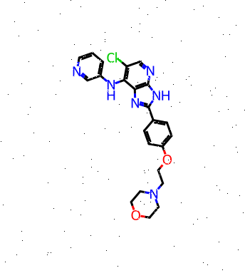 Clc1cnc2[nH]c(-c3ccc(OCCN4CCOCC4)cc3)nc2c1Nc1cccnc1